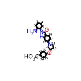 Nc1ccccc1NC(=O)c1ccc(N2CCC(Oc3ccc(C(=O)O)cc3)C2)cc1